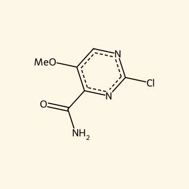 COc1cnc(Cl)nc1C(N)=O